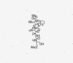 CCCC(NC(=O)[C@@H]1CC2(CN1C(=O)C(NC(=O)OC(C)(C)C)C(C)(C)C)SCCCS2)C(=O)C(=O)NCC(=O)NC(CO)CCSC